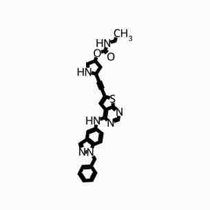 CCNC(=O)OC1CNC(C#Cc2cc3c(Nc4ccc5c(cnn5Cc5ccccc5)c4)ncnc3s2)C1